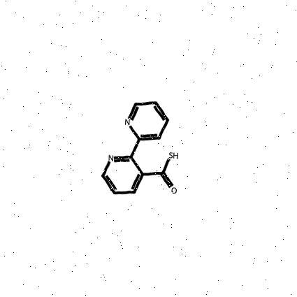 O=C(S)c1cccnc1-c1ccccn1